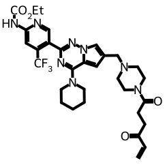 C=CC(=O)CCC(=O)N1CCN(Cc2cc3c(N4CCCCC4)nc(-c4cnc(NC(=O)OCC)cc4C(F)(F)F)nn3c2)CC1